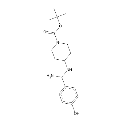 CC(C)(C)OC(=O)N1CCC(NC(N)c2ccc(O)cc2)CC1